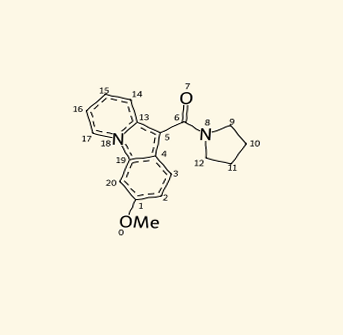 COc1ccc2c(C(=O)N3CCCC3)c3ccccn3c2c1